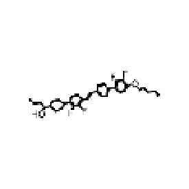 C=CCCCOc1ccc(-c2ccc(/C=C/c3ccc(C4CCC(C(O)CCC)CC4)c(F)c3F)cc2)c(F)c1F